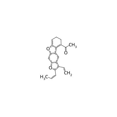 C=Cc1c(/C=C\C)oc2cc3oc4c(c3cc12)=C(C(C)=O)CCC=4